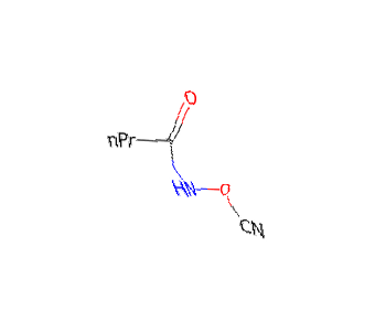 CCCC(=O)NOC#N